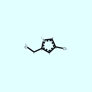 ClCc1cc(Cl)cs1